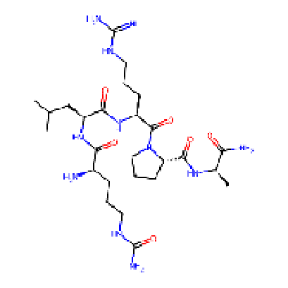 CC(C)C[C@H](NC(=O)[C@H](N)CCCNC(N)=O)C(=O)N[C@@H](CCCNC(=N)N)C(=O)N1CCC[C@H]1C(=O)N[C@H](C)C(N)=O